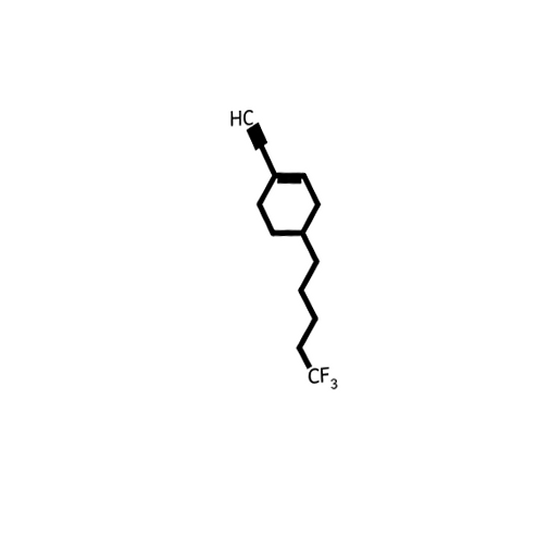 C#CC1=CCC(CCCCC(F)(F)F)CC1